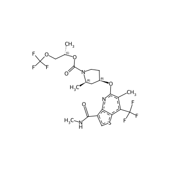 CNC(=O)c1csc2c(C(F)(F)F)c(C)c(O[C@@H]3CCN(C(=O)O[C@@H](C)COC(F)(F)F)[C@H](C)C3)nc12